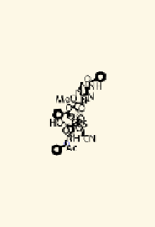 COC1C(OC(=O)c2ccccc2)[C@@H](COP(=S)(OCCC#N)OC2C[C@H](N/C=C(\C(C)=O)c3ccccc3)O[C@@H]2CO)O[C@H]1n1cnc2c(NC(=O)c3ccccc3)ncnc21